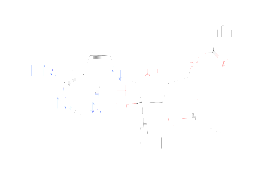 C#CC1(O)C(OC(=O)C(C)C)C(COC(=O)C(C)C)OC1n1ccc2c(N)ncnc21